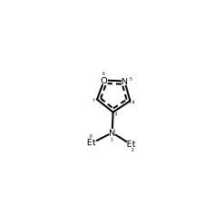 CCN(CC)c1[c]noc1